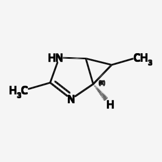 CC1=N[C@@H]2C(C)C2N1